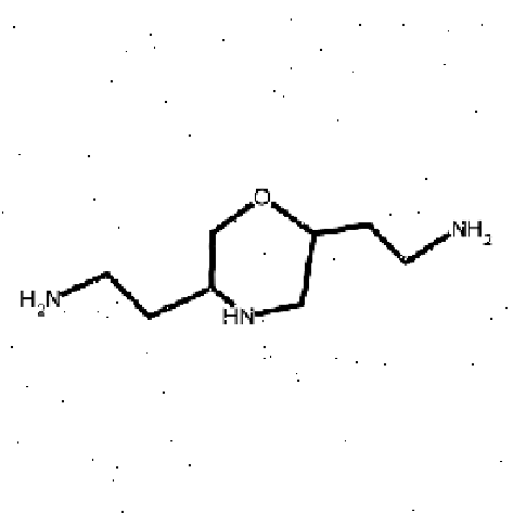 NCCC1COC(CCN)CN1